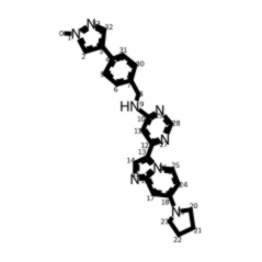 Cn1cc(-c2ccc(CNc3cc(-c4cnc5cc(N6CCCC6)ccn45)ncn3)cc2)cn1